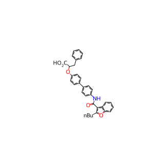 CCCCc1oc2ccccc2c1C(=O)Nc1ccc(-c2ccc(OC(Cc3ccccc3)C(=O)O)cc2)cc1